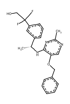 Cc1ncc(OCc2ccccc2)c(N[C@H](C)c2cccc(C(F)(F)CO)c2)n1